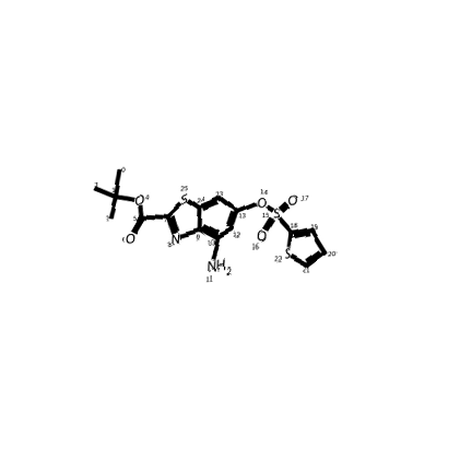 CC(C)(C)OC(=O)c1nc2c(N)cc(OS(=O)(=O)c3cccs3)cc2s1